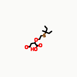 CCC(C)(CC)SCCOC(CC=O)C(=O)O